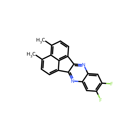 Cc1ccc2c3c(ccc(C)c13)-c1nc3cc(F)c(F)cc3nc1-2